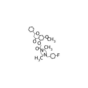 COc1cc(OCC(=O)N2CC(C)N(Cc3ccc(F)cc3)CC2C)c2c(c1)OC(c1ccccc1)CC2=O